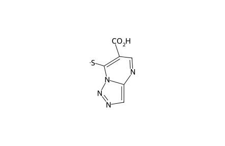 O=C(O)c1cnc2cnnn2c1[S]